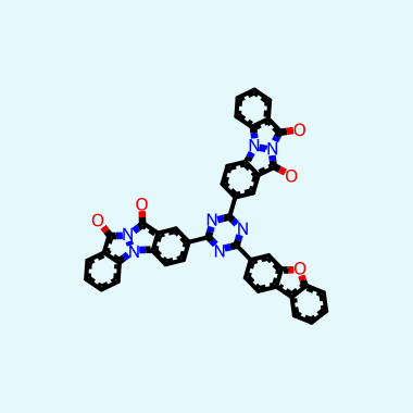 O=c1c2ccccc2n2c3ccc(-c4nc(-c5ccc6c(c5)oc5ccccc56)nc(-c5ccc6c(c5)c(=O)n5c(=O)c7ccccc7n65)n4)cc3c(=O)n12